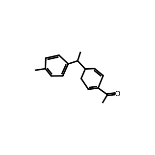 CC(=O)C1=CCC(C(C)c2ccc(C)cc2)C=C1